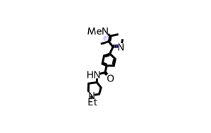 CCN1CCC(NC(=O)c2ccc(C(=N/C)/C(C)=C(\C)NC)cc2)CC1